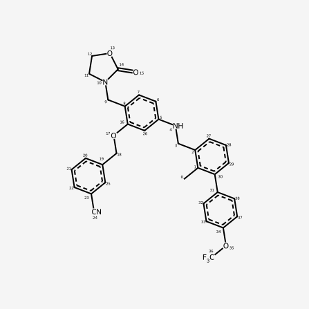 Cc1c(CNc2ccc(CN3CCOC3=O)c(OCc3cccc(C#N)c3)c2)cccc1-c1ccc(OC(F)(F)F)cc1